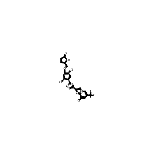 O=C1CCC(COc2cc(Cl)c(-c3nc(-c4cn5cc(C(F)(F)F)cc(Cl)c5n4)no3)cc2Cl)N1